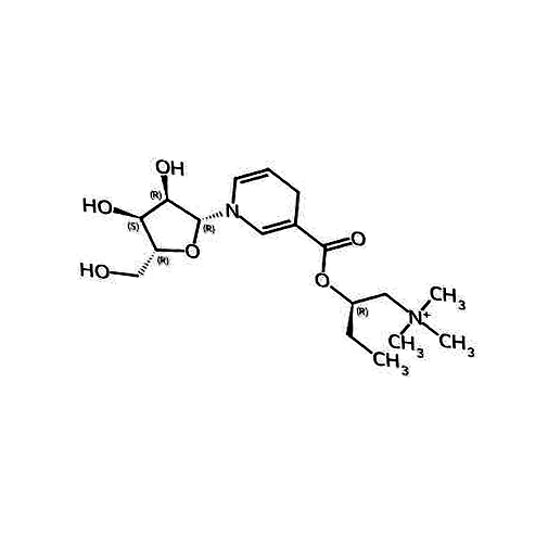 CC[C@H](C[N+](C)(C)C)OC(=O)C1=CN([C@@H]2O[C@H](CO)[C@@H](O)[C@H]2O)C=CC1